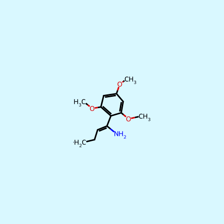 [CH2]CC=C(N)c1c(OC)cc(OC)cc1OC